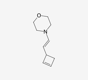 C1=CC(C=CN2CCOCC2)C1